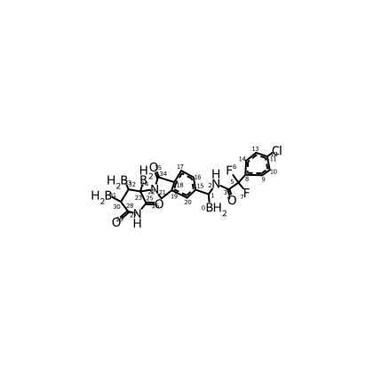 BC(NC(=O)C(F)(F)c1ccc(Cl)cc1)c1ccc2c(c1)CN(C1(B)C(=O)NC(=O)C(B)C1B)C2=O